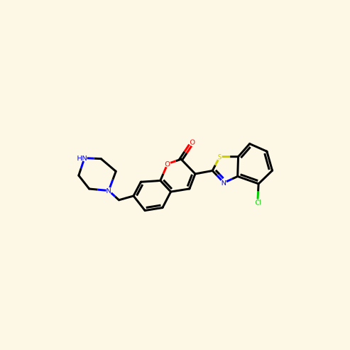 O=c1oc2cc(CN3CCNCC3)ccc2cc1-c1nc2c(Cl)cccc2s1